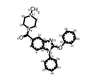 CN1CCN(C(=O)c2ccc3c(c2)nc(Oc2ccccc2)n3-c2ccccc2)CC1